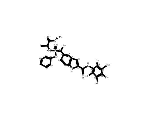 CCCOC(=O)C(C)NP(=O)(Oc1ccccc1)C(F)c1ccc2sc(C(=O)Oc3c(F)c(F)c(F)c(F)c3F)cc2c1